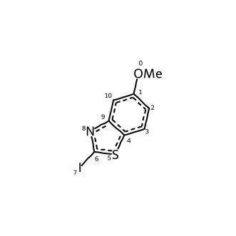 COc1ccc2sc(I)nc2c1